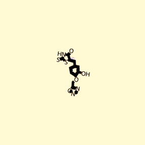 O=C1NC(=S)S/C1=C\c1ccc(OCc2ncno2)c(O)c1